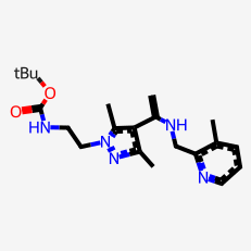 C=C(NCc1ncccc1C)c1c(C)nn(CCNC(=O)OC(C)(C)C)c1C